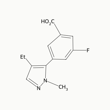 CCc1cnn(C)c1-c1cc(F)cc(C(=O)O)c1